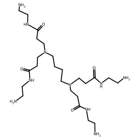 NCCNC(=O)CCN(CCCCN(CCC(=O)NCCN)CCC(=O)NCCN)CCC(=O)NCCN